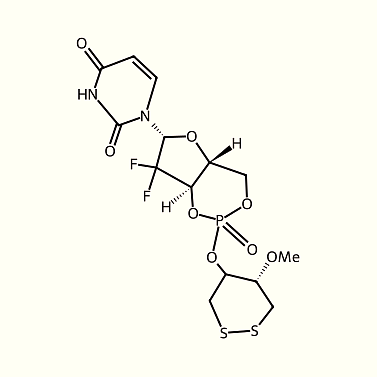 CO[C@@H]1CSSCC1OP1(=O)OC[C@H]2O[C@@H](n3ccc(=O)[nH]c3=O)C(F)(F)[C@@H]2O1